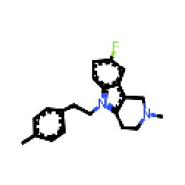 Cc1ccc(CCn2c3c(c4cc(F)ccc42)CN(C)CC3)cc1